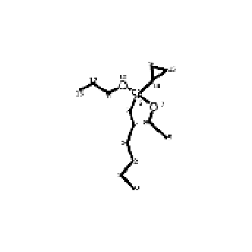 CCCCCC[Si](OCC)(OCCC)C1CC1